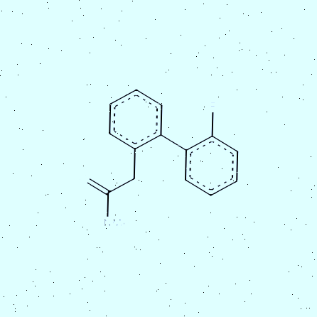 CNC(=O)Cc1ccccc1-c1ccccc1F